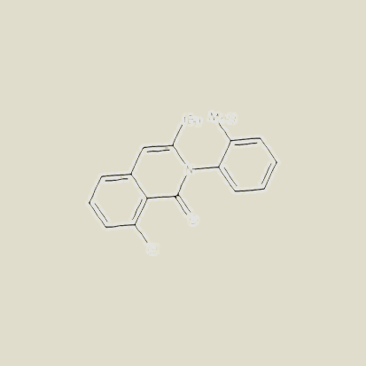 COc1ccccc1-n1c(C(C)(C)C)cc2cccc(Cl)c2c1=O